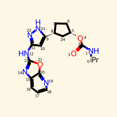 CC(C)NC(=O)O[C@H]1CC[C@@H](c2cc(Nc3nc4cccnc4o3)n[nH]2)C1